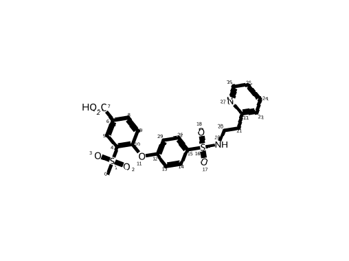 CS(=O)(=O)c1cc(C(=O)O)ccc1Oc1ccc(S(=O)(=O)NCCc2ccccn2)cc1